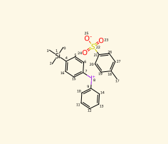 C[Si](C)(C)c1ccc([I+]c2ccccc2)cc1.Cc1ccc(S(=O)(=O)[O-])cc1